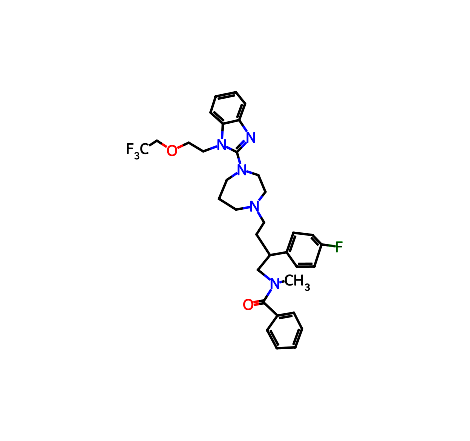 CN(CC(CCN1CCCN(c2nc3ccccc3n2CCOCC(F)(F)F)CC1)c1ccc(F)cc1)C(=O)c1ccccc1